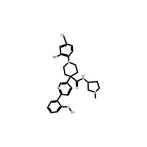 CCOc1ccccc1-c1ccc(C2(C(=O)NC3CCN(C)C3)CCN(c3ccc(Cl)cc3C#N)CC2)cn1